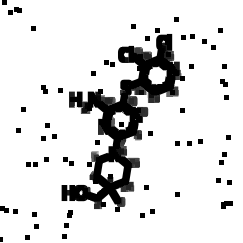 CC1(CO)CCN(c2cnc(Sc3ccnc(Cl)c3Cl)c(N)n2)CC1